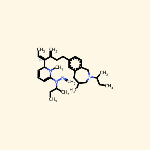 C=NN(C1=CC=CC(/C(=C/C)C(=C)CCc2ccc3c(c2)CC(C)CN(C(C)CC)C3)N1C)C(C)CC